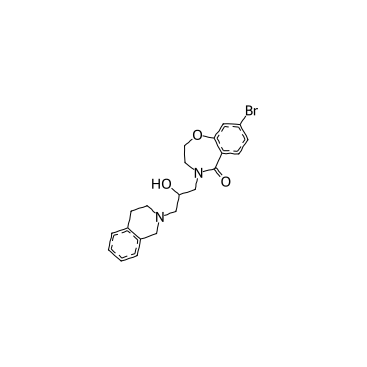 O=C1c2ccc(Br)cc2OCCN1CC(O)CN1CCc2ccccc2C1